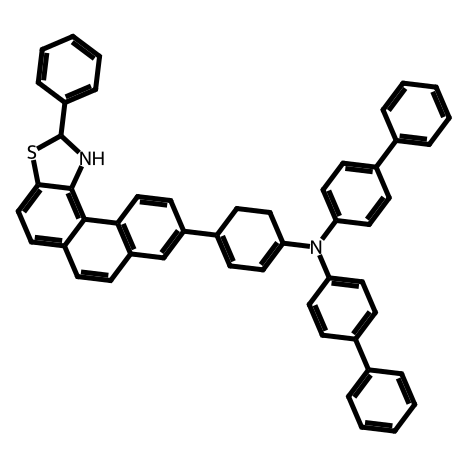 C1=C(c2ccc3c(ccc4ccc5c(c43)NC(c3ccccc3)S5)c2)CCC(N(c2ccc(-c3ccccc3)cc2)c2ccc(-c3ccccc3)cc2)=C1